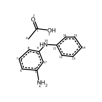 CC(=O)O.Nc1cccc(Nc2ccccc2)c1